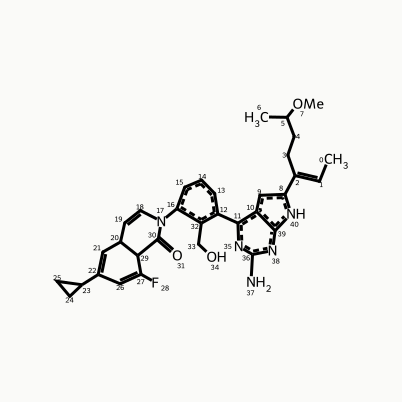 C/C=C(\CCC(C)OC)c1cc2c(-c3cccc(N4C=CC5C=C(C6CC6)C=C(F)C5C4=O)c3CO)nc(N)nc2[nH]1